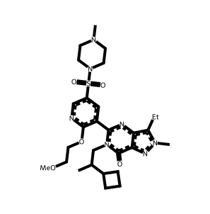 CCc1c2nc(-c3cc(S(=O)(=O)N4CCN(C)CC4)cnc3OCCOC)n(CC(C)C3CCC3)c(=O)c2nn1C